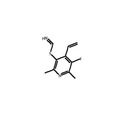 C=Cc1c(I)c(C)nc(C)c1SC=N